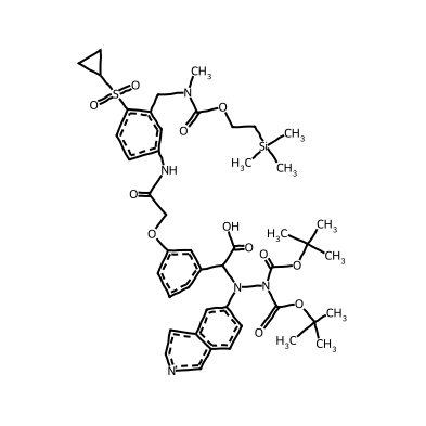 CN(Cc1cc(NC(=O)COc2cccc(C(C(=O)O)N(c3ccc4cnccc4c3)N(C(=O)OC(C)(C)C)C(=O)OC(C)(C)C)c2)ccc1S(=O)(=O)C1CC1)C(=O)OCC[Si](C)(C)C